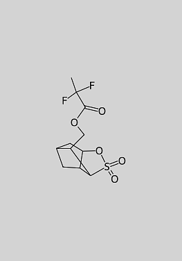 CC(F)(F)C(=O)OCC1C2CC3OS(=O)(=O)C1C3C2